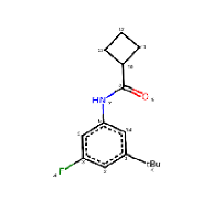 CC(C)(C)c1cc(F)cc(NC(=O)C2CCC2)c1